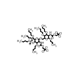 C=CCOC1OC(COC2OC(COCCCC)C(OP(=O)(OCCCC)OCCCC)C(OCCCC)C2NC(=O)OCC(Cl)(Cl)Cl)C(OCCCC)C(OCCCC)C1NC(=O)OCC(Cl)(Cl)Cl